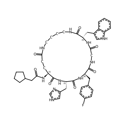 O=C1CC[C@H](NC(=O)CC2CCCC2)C(=O)N[C@@H](Cc2c[nH]cn2)C(=O)N[C@H](Cc2ccc(F)cc2)C(=O)NCC(=O)N[C@@H](Cc2c[nH]c3ccccc23)C(=O)NCCCCN1